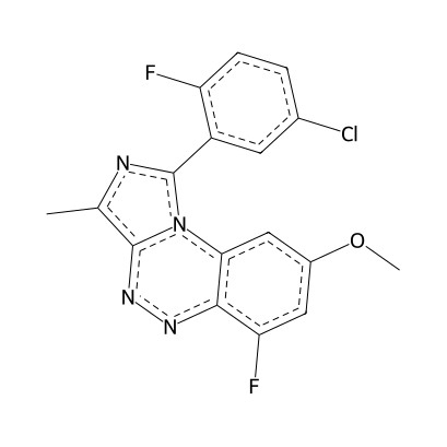 COc1cc(F)c2nnc3c(C)nc(-c4cc(Cl)ccc4F)n3c2c1